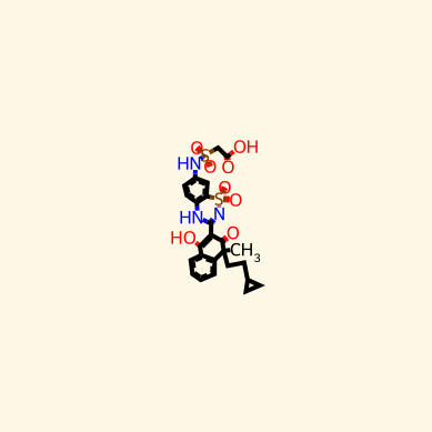 CC1(CCC2CC2)C(=O)C(C2=NS(=O)(=O)c3cc(NS(=O)(=O)CC(=O)O)ccc3N2)=C(O)c2ccccc21